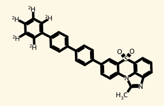 [2H]c1c([2H])c([2H])c(-c2ccc(-c3ccc(-c4ccc5c(c4)S(=O)(=O)c4cccc6nc(C)n-5c46)cc3)cc2)c([2H])c1[2H]